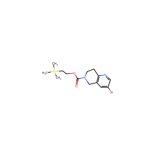 CS(C)(C)CCOC(=O)N1CCc2ncc(Br)cc2C1